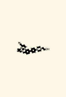 CC(C)(C)CN(Cc1ccc(-c2ccc(N3CCN(CCO)CC3)cc2)cc1)c1nccc(C#N)n1